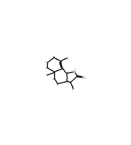 CC1=C2C3OC(=O)C(C)C3CCC2(C)CCC1